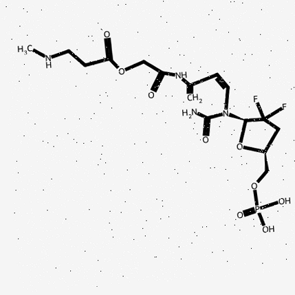 C=C(/C=C\N(C(N)=O)[C@@H]1O[C@H](COP(=O)(O)O)CC1(F)F)NC(=O)COC(=O)CCNC